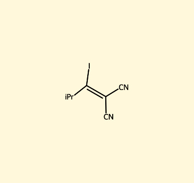 CC(C)C(I)=C(C#N)C#N